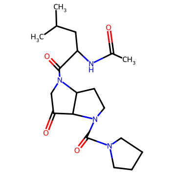 CC(=O)NC(CC(C)C)C(=O)N1CC(=O)C2C1CCN2C(=O)N1CCCC1